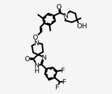 Cc1cc(C(=O)N2CCC(C)(O)CC2)cc(C)c1/C=C/ON1CCC2(CC1)N=C(c1ccc(C(F)F)c(F)c1)NC2=O